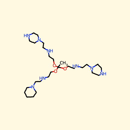 CC(OCCNCCN1CCCCC1)(OCCNCCN1CCNCC1)OCCNCCN1CCNCC1